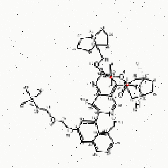 CC(C)(C)OC(=O)N1[C@@H]2CC[C@H]1CN(c1nc(OCC34CCCN3CCC4)nc3c(F)c(-c4cc(OCOCC[Si](C)(C)C)cc5cccc(F)c45)ncc13)C2